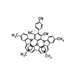 Cc1ccc2c(c1)c1cc(C)ccc1n2-c1c(C#N)c(-c2ccc(C#N)cc2)c(C#N)c(-n2c3ccc(C)cc3c3cc(C)ccc32)c1-n1c2ccccc2c2ccccc21